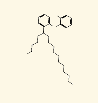 CCCCCCCCCCCC(CCCCC)c1ccccc1Oc1ccccc1O